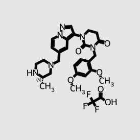 COc1ccc(CN2C(=O)CCN(c3cnn4ccc(CN5CCN[C@@H](C)C5)cc34)C2=O)c(OC)c1.O=C(O)C(F)(F)F